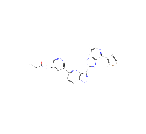 CC(C)(C)CC(=O)Nc1cncc(-c2ccc3[nH]nc(-c4nc5c(-c6ccsc6)nccc5[nH]4)c3n2)c1